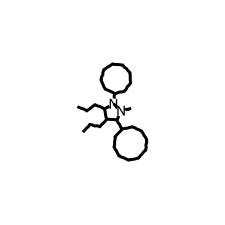 CCCC1C(C2CCCCCCCCC2)N(C)N(C2CCCCCCCC2)C1CCC